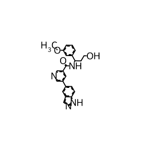 COc1cccc(C(CCO)NC(=O)c2cncc(-c3ccc4[nH]ncc4c3)c2)c1